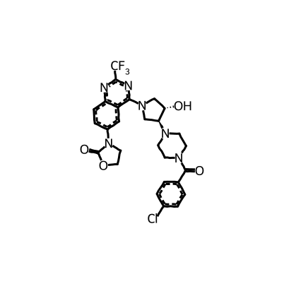 O=C(c1ccc(Cl)cc1)N1CCN([C@H]2CN(c3nc(C(F)(F)F)nc4ccc(N5CCOC5=O)cc34)C[C@@H]2O)CC1